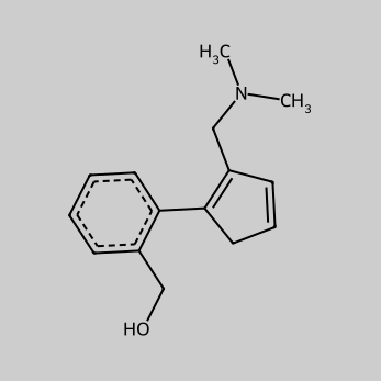 CN(C)CC1=C(c2ccccc2CO)CC=C1